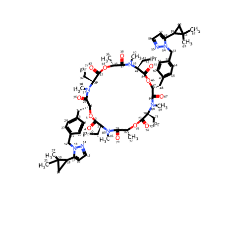 CC(C)C[C@H]1C(=O)O[C@H](Cc2ccc(Cn3nccc3C3CC3(C)C)cc2)C(=O)N(C)[C@@H](CC(C)C)C(=O)O[C@H](C)C(=O)N(C)[C@@H](CC(C)C)C(=O)O[C@H](Cc2ccc(Cn3nccc3C3CC3(C)C)cc2)C(=O)N(C)[C@@H](CC(C)C)C(=O)O[C@H](C)C(=O)N1C